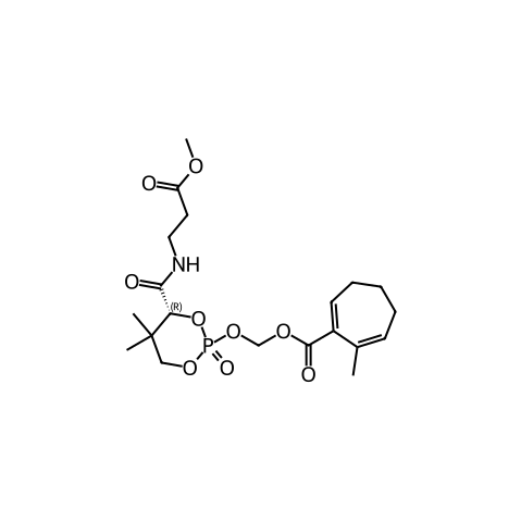 COC(=O)CCNC(=O)[C@@H]1OP(=O)(OCOC(=O)C2=CCCCC=C2C)OCC1(C)C